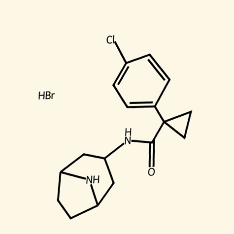 Br.O=C(NC1CC2CCC(C1)N2)C1(c2ccc(Cl)cc2)CC1